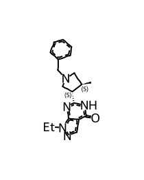 CCn1ncc2c(=O)[nH]c([C@@H]3CN(Cc4ccccc4)C[C@H]3C)nc21